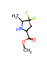 COC(=O)C1CC(F)(F)C(C)N1